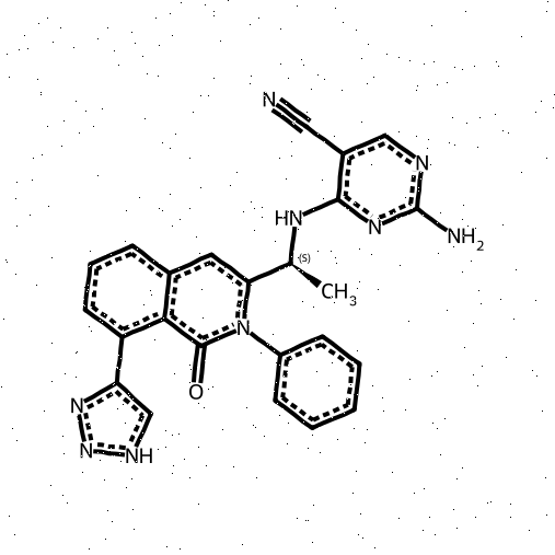 C[C@H](Nc1nc(N)ncc1C#N)c1cc2cccc(-c3c[nH]nn3)c2c(=O)n1-c1ccccc1